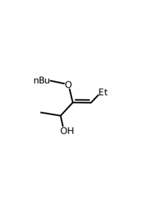 CCC=C(OCCCC)C(C)O